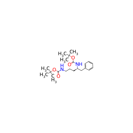 CC(C)(C)OC(=O)NCCC[C@H](Cc1ccccc1)NC(=O)OC(C)(C)C